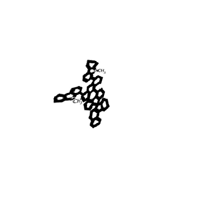 Cp1c2ccccc2c2cccc(-c3cccc4c(-c5cccc6c5-c5ccccc5C65c6ccccc6-c6c5ccc5ccccc65)c5cccc(-c6cccc7c8ccccc8p(C)c67)c5cc34)c21